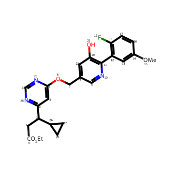 CCOC(=O)CC(c1cc(OCc2cnc(-c3cc(OC)ccc3F)c(O)c2)ncn1)C1CC1